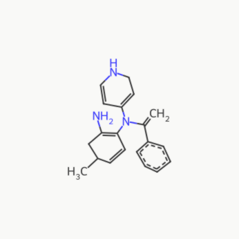 C=C(c1ccccc1)N(C1=CCNC=C1)C1=C(N)CC(C)C=C1